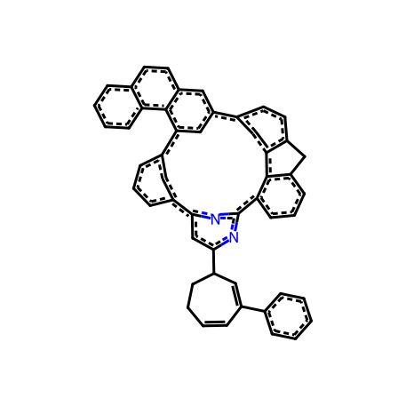 C1=CC(c2ccccc2)=CC(c2cc3nc(n2)c2cccc4c2c2cc(ccc2C4)c2cc4ccc5ccccc5c4c(c2)c2cccc3c2)CC1